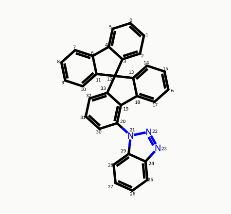 c1ccc2c(c1)-c1ccccc1C21c2ccccc2-c2c(-n3nnc4ccccc43)cccc21